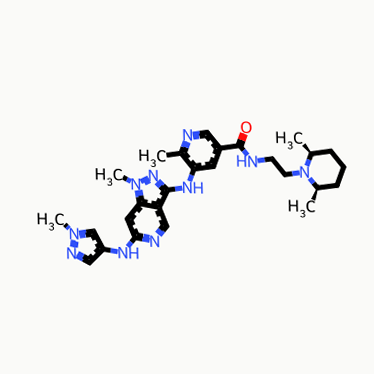 Cc1ncc(C(=O)NCCN2[C@H](C)CCC[C@@H]2C)cc1Nc1nn(C)c2cc(Nc3cnn(C)c3)ncc12